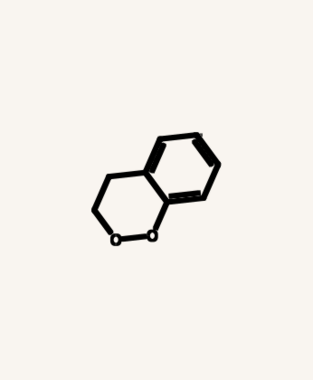 [c]1ccc2c(c1)CCOO2